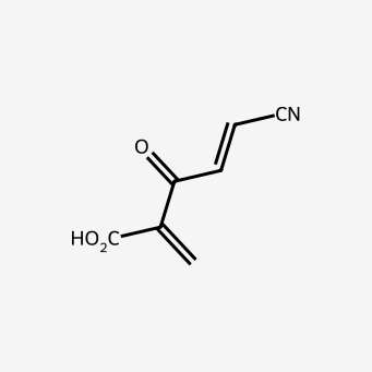 C=C(C(=O)O)C(=O)C=CC#N